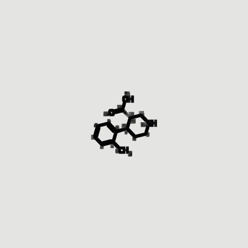 Cc1ccccc1[C@@H]1CCNC[C@H]1C(=O)O